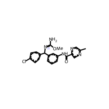 CO/C(N)=N\C(c1ccc(Cl)cc1)c1cccc(NC(=O)c2cnc(C)cn2)c1